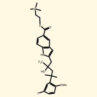 COc1ccc(F)cc1C(C)(C)CC(O)(Cc1cc2cc(C(=O)OCC[Si](C)(C)C)ccc2[nH]1)C(F)(F)F